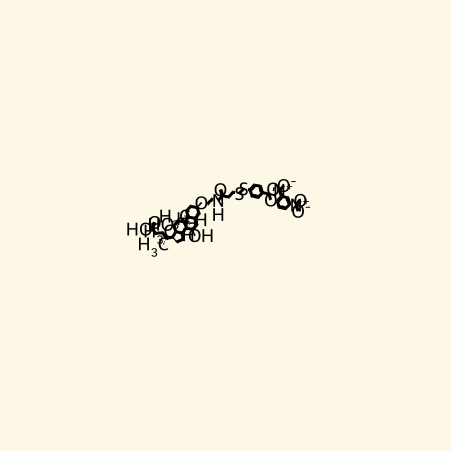 C[C@H](CCC(=O)O)[C@@H]1CC[C@H]2[C@@H]3[C@H](O)C[C@@H]4C[C@H](OCCNC(=O)CCSSc5ccc(COc6ccc([N+](=O)[O-])cc6[N+](=O)[O-])cc5)CC[C@]4(C)[C@H]3C[C@H](O)[C@@]21C